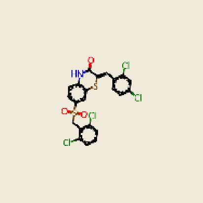 O=C1Nc2ccc(S(=O)(=O)Cc3c(Cl)cccc3Cl)cc2S/C1=C\c1ccc(Cl)cc1Cl